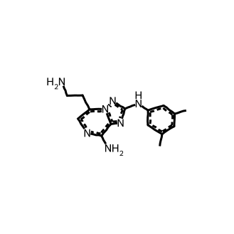 Cc1cc(C)cc(Nc2nc3c(N)ncc(CCN)n3n2)c1